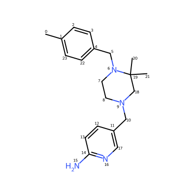 Cc1ccc(CN2CCN(Cc3ccc(N)nc3)CC2(C)C)cc1